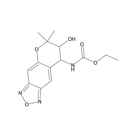 CCOC(=O)NC1c2cc3nonc3cc2OC(C)(C)C1O